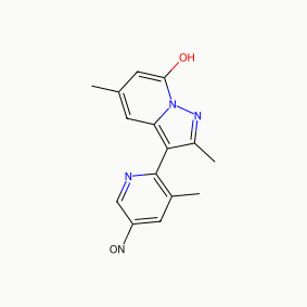 Cc1cc(O)n2nc(C)c(-c3ncc(N=O)cc3C)c2c1